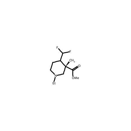 CCN1CCC(C(F)F)[C@](C)(C(=O)OC)C1